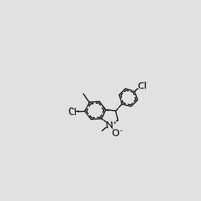 Cc1cc2c(cc1Cl)[N+](C)([O-])CC2c1ccc(Cl)cc1